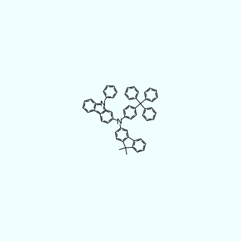 CC1(C)c2ccccc2-c2cc(N(c3ccc(C(c4ccccc4)(c4ccccc4)c4ccccc4)cc3)c3ccc4c5ccccc5n(-c5ccccc5)c4c3)ccc21